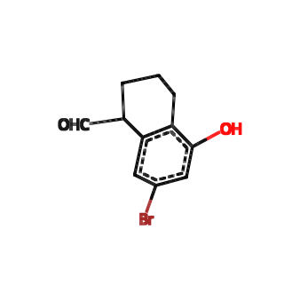 O=CC1CCCc2c(O)cc(Br)cc21